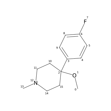 COC1(c2ccc(F)cc2)CCN(C)CC1